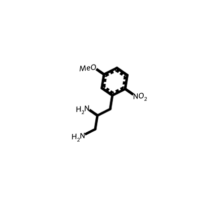 COc1ccc([N+](=O)[O-])c(CC(N)CN)c1